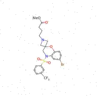 COC(=O)CCCN1CC2(C1)CN(S(=O)(=O)c1cccc(C(F)(F)F)c1)c1cc(Br)ccc1O2